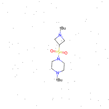 CC(C)(C)N1CCN(S(=O)(=O)C2CN(C(C)(C)C)C2)CC1